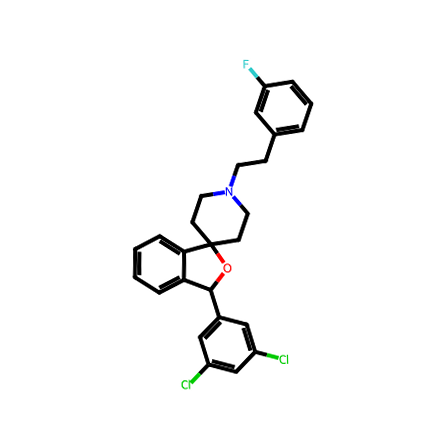 Fc1cccc(CCN2CCC3(CC2)OC(c2cc(Cl)cc(Cl)c2)c2ccccc23)c1